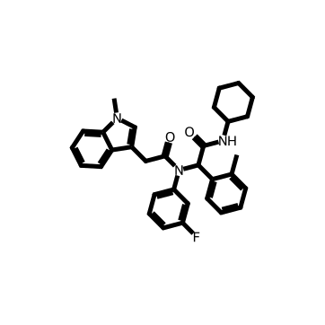 Cc1ccccc1C(C(=O)NC1CCCCC1)N(C(=O)Cc1cn(C)c2ccccc12)c1cccc(F)c1